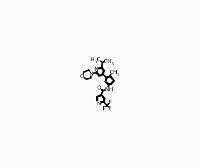 Cc1ccc(NC(=O)c2ccnc(C(F)(F)F)c2)cc1-c1cc(C(C)C)nc(N2CCOCC2)c1